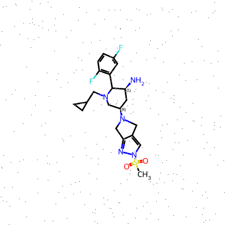 CS(=O)(=O)n1cc2c(n1)CN([C@@H]1C[C@H](N)C(c3cc(F)ccc3F)N(CC3CC3)C1)C2